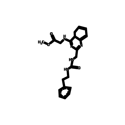 COC(=O)CNC1=NC(CNC(=O)NCCc2ccccc2)=NC2=CC=CCC21